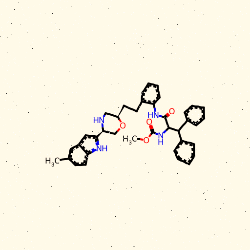 COC(=O)NC(C(=O)Nc1ccccc1CC[C@@H]1CN[C@H](c2cc3cc(C)ccc3[nH]2)CO1)C(c1ccccc1)c1ccccc1